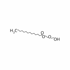 CCCCCCCCCCCCCC(=O)OCCOCCO